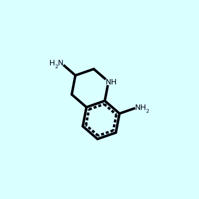 Nc1cccc2c1NCC(N)C2